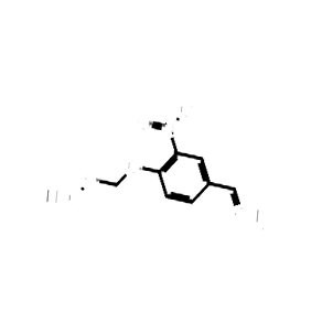 C=Cc1ccc(OCOC)c([N+](=O)[O-])c1